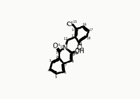 O=c1c2ccccc2cc(O)n1Cc1c(Cl)cccc1Cl